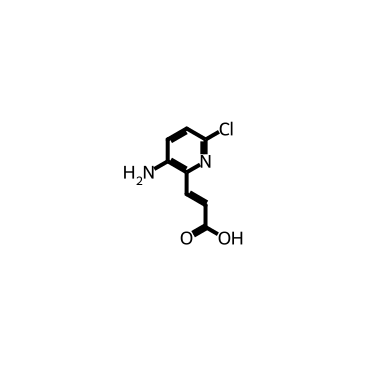 Nc1ccc(Cl)nc1/C=C/C(=O)O